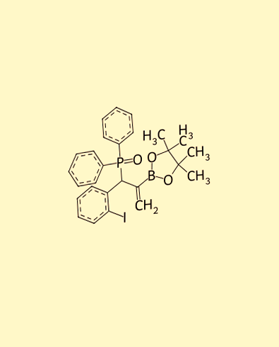 C=C(B1OC(C)(C)C(C)(C)O1)C(c1ccccc1I)P(=O)(c1ccccc1)c1ccccc1